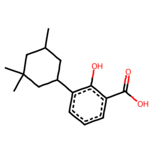 CC1CC(c2cccc(C(=O)O)c2O)CC(C)(C)C1